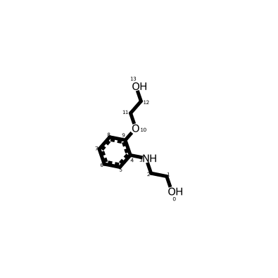 OCCNc1ccccc1OCCO